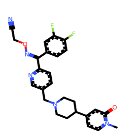 Cn1ccc(C2CCN(Cc3ccc(C(=NOCC#N)c4ccc(F)c(F)c4)nc3)CC2)cc1=O